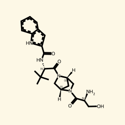 CC(C)(C)[C@H](NC(=O)c1cc2ccccc2[nH]1)C(=O)N1C[C@@H]2C[C@H]1CN2C(=O)[C@@H](N)CO